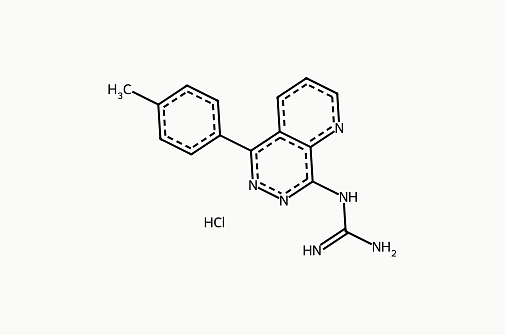 Cc1ccc(-c2nnc(NC(=N)N)c3ncccc23)cc1.Cl